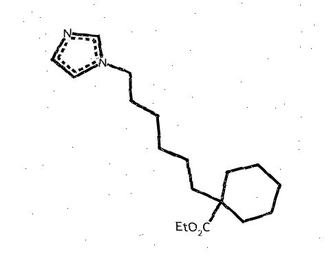 CCOC(=O)C1(CCCCCCn2ccnc2)CCCCC1